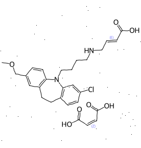 COCc1ccc2c(c1)CCc1ccc(Cl)cc1N2CCCCNC/C=C/C(=O)O.O=C(O)/C=C\C(=O)O